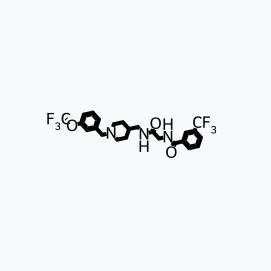 O=C(CNC(=O)c1cccc(C(F)(F)F)c1)NCC1CCN(Cc2cccc(OC(F)(F)F)c2)CC1